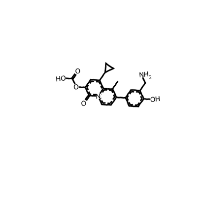 Cc1c(-c2ccc(O)c(CN)c2)ccn2c(=O)c(OC(=O)O)cc(C3CC3)c12